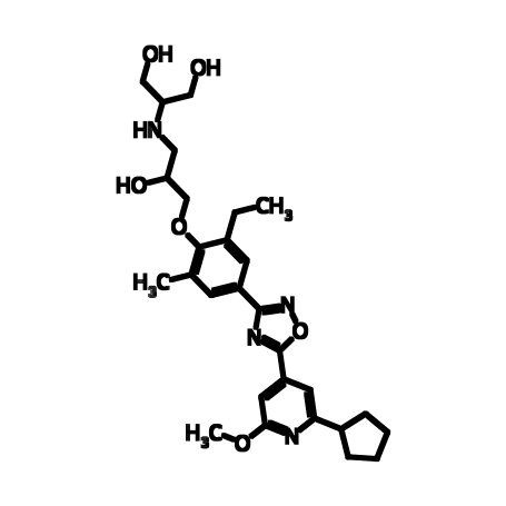 CCc1cc(-c2noc(-c3cc(OC)nc(C4CCCC4)c3)n2)cc(C)c1OCC(O)CNC(CO)CO